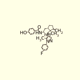 C=C1CC[C@H](CC(CCC)NC(=O)c2ccc(O)cc2)[C@@]1(C)Cc1cnn(-c2ccc(F)cc2)c1C